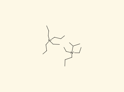 CCC[N+](CC)(CC)C(C)C.CCC[N+](CC)(CCC)CCC